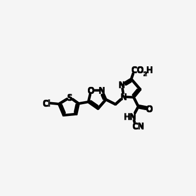 N#CNC(=O)c1cc(C(=O)O)nn1Cc1cc(-c2ccc(Cl)s2)on1